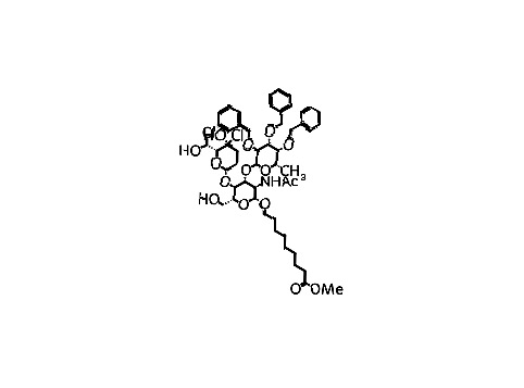 COC(=O)CCCCCCCCO[C@@H]1O[C@H](CO)[C@@H](O[C@H]2CC[C@](O)(Cl)[C@@H](C(O)Cl)O2)[C@H](OC2O[C@@H](C)[C@@H](OCc3ccccc3)[C@@H](OCc3ccccc3)[C@@H]2OCc2ccccc2)[C@H]1NC(C)=O